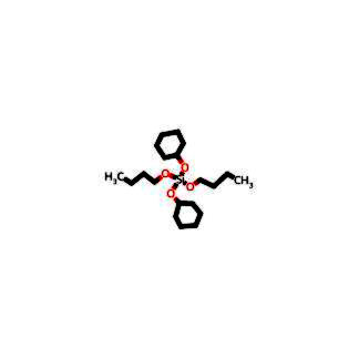 CCCCO[Si](OCCCC)(OC1CCCCC1)OC1CCCCC1